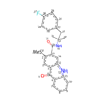 CSc1cc2c(=O)c3ccccc3[nH]c2cc1C(=O)NC(C)(C)Cc1ccc(F)cc1